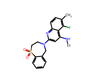 [CH2][CH]Nc1cc(N2CCS(=O)(=O)c3ccccc3C2)nc2ccc(C)c(F)c12